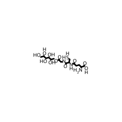 NC(CCC(=O)NC(CS)C(=O)NCC(=O)OC[C@@H](O)[C@@H](O)[C@H](O)[C@H](O)CO)C(=O)O